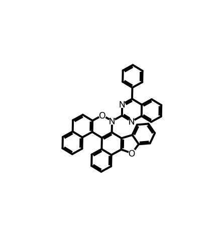 c1ccc(-c2nc(N3Oc4ccc5ccccc5c4-c4c3c3c5ccccc5oc3c3ccccc43)nc3ccccc23)cc1